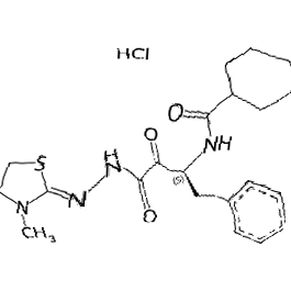 CN1CCSC1=NNC(=O)C(=O)[C@H](Cc1ccccc1)NC(=O)C1CCCCC1.Cl